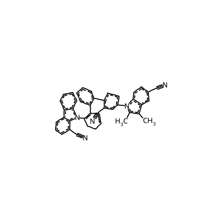 Cc1c(C)n(-c2ccc(-c3ccccc3C3=C(n4c5ccccc5c5cccc(C#N)c54)CCC=C3)c(C#N)c2)c2ccc(C#N)cc12